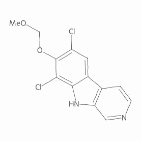 COCOc1c(Cl)cc2c([nH]c3cnccc32)c1Cl